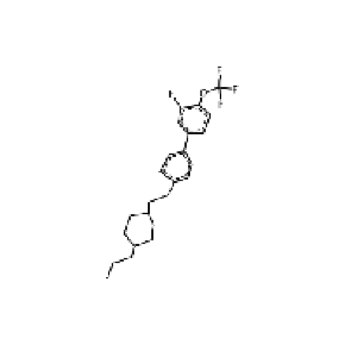 CCCC1CCC(CCc2ccc(-c3ccc(OC(F)(F)F)c(F)c3)cc2)CC1